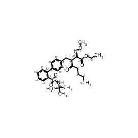 CCCCC(=O)C(Cc1ccc(-c2ccccc2S(=O)(=O)NC(C)(C)C)cc1)C(=NOC)C(=O)OCC